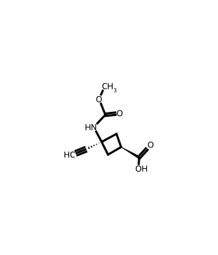 C#C[C@]1(NC(=O)OC)C[C@@H](C(=O)O)C1